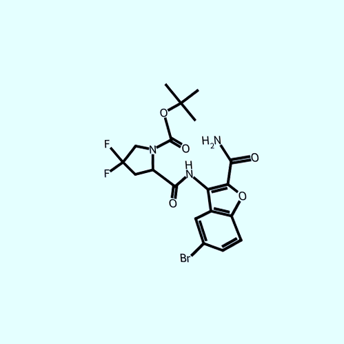 CC(C)(C)OC(=O)N1CC(F)(F)CC1C(=O)Nc1c(C(N)=O)oc2ccc(Br)cc12